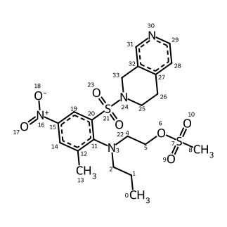 CCCN(CCOS(C)(=O)=O)c1c(C)cc([N+](=O)[O-])cc1S(=O)(=O)N1CCc2ccncc2C1